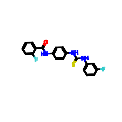 O=C(Nc1ccc(NC(=S)Nc2cccc(F)c2)cc1)c1ccccc1F